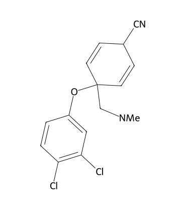 CNCC1(Oc2ccc(Cl)c(Cl)c2)C=CC(C#N)C=C1